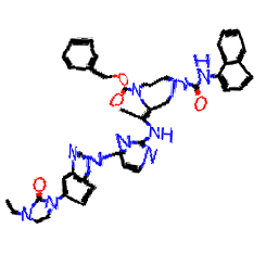 CCN1CCN(c2ccc3c(c2)ncn3-c2ccnc(NC(C)C3CN(C(=O)Nc4cccc5ccccc45)CCN3C(=O)OCc3ccccc3)n2)C1=O